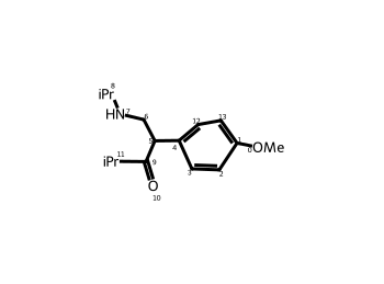 COc1ccc(C(CNC(C)C)C(=O)C(C)C)cc1